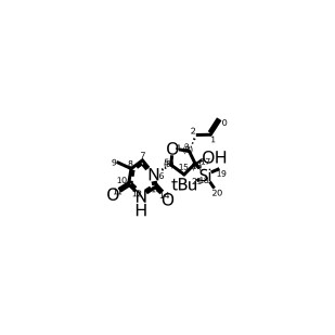 C=CC[C@H]1O[C@@H](n2cc(C)c(=O)[nH]c2=O)C[C@@]1(O)[Si](C)(C)C(C)(C)C